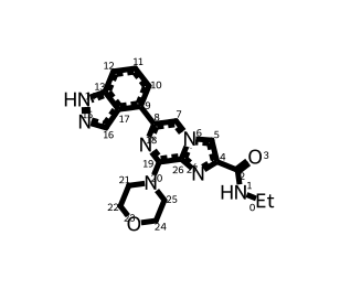 CCNC(=O)c1cn2cc(-c3cccc4[nH]ncc34)nc(N3CCOCC3)c2n1